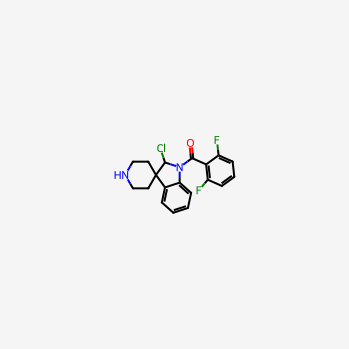 O=C(c1c(F)cccc1F)N1c2ccccc2C2(CCNCC2)C1Cl